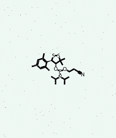 Cc1cc(C)c([C@H]2SSC(C)(C)[C@H]2OP(OCCC#N)N(C(C)C)C(C)C)c(C)c1